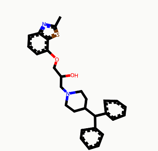 Cc1nc2cccc(OCC(O)CN3CCC(C(c4ccccc4)c4ccccc4)CC3)c2s1